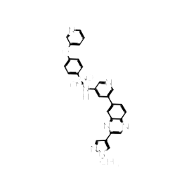 Cn1cc(-c2cnc3ccc(-c4cncc(NS(=O)(=O)c5ccc(Oc6cccnc6)cc5)c4)cc3n2)cn1